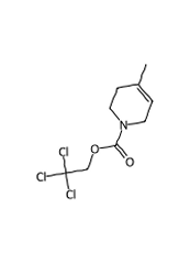 CC1=CCN(C(=O)OCC(Cl)(Cl)Cl)CC1